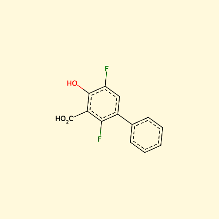 O=C(O)c1c(O)c(F)cc(-c2ccccc2)c1F